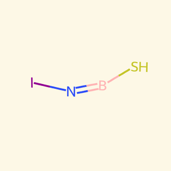 SB=NI